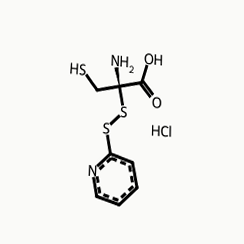 Cl.N[C@](CS)(SSc1ccccn1)C(=O)O